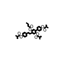 C=C(C)C(=O)Oc1ccc(/C=C/c2cc(OC(=O)C(=C)C)c(-c3ccc(OC(=O)C(=C)C)cc3)cc2OC(=O)/C=C/C)cc1